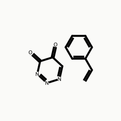 C=Cc1ccccc1.O=C1C=NN=NC1=O